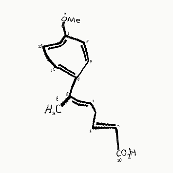 COc1ccc(C(C)=CC=CC(=O)O)cc1